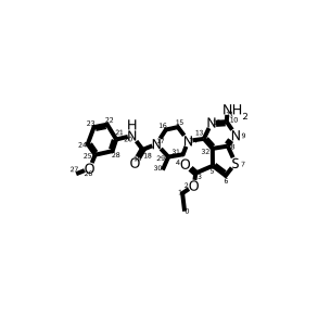 CCOC(=O)c1csc2nc(N)nc(N3CCN(C(=O)Nc4cccc(OC)c4)C(C)C3)c12